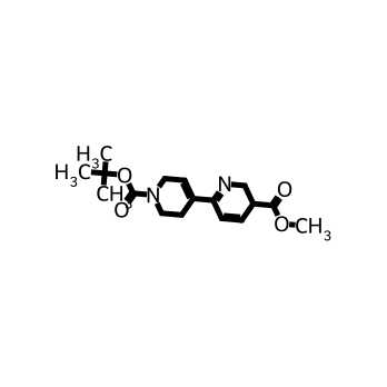 COC(=O)C1C=CC(C2=CCN(C(=O)OC(C)(C)C)CC2)=NC1